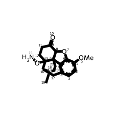 COc1ccc2c3c1OC1C(=O)CCC4(ON)C(C2)N(C)CCC314